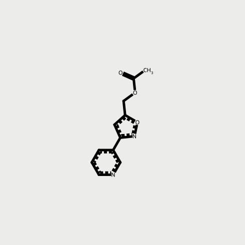 CC(=O)OCc1cc(-c2cccnc2)no1